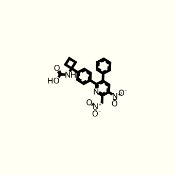 O=C(O)NC1(c2ccc(-c3nc(C[N+](=O)[O-])c([N+](=O)[O-])cc3-c3ccccc3)cc2)CCC1